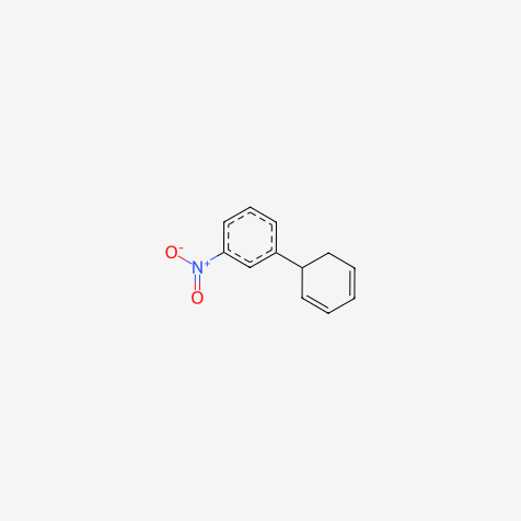 O=[N+]([O-])c1cccc(C2C=CC=CC2)c1